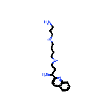 NCCCNCCCCNCCC(N)c1ccc2ccccc2n1